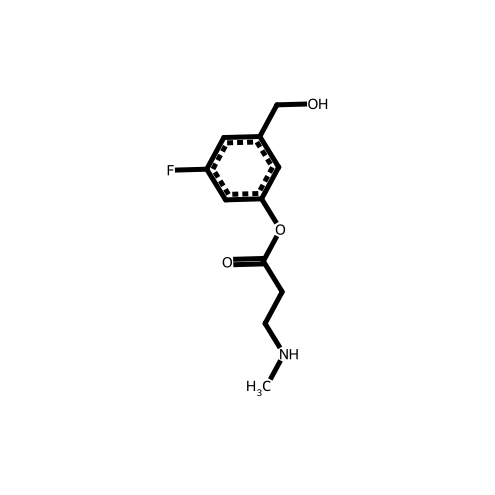 CNCCC(=O)Oc1cc(F)cc(CO)c1